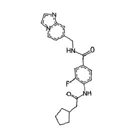 O=C(CC1CCCC1)Nc1ccc(C(=O)NCc2ccn3ccnc3c2)cc1F